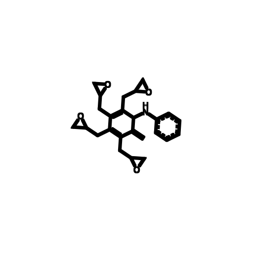 C=C1C(CC2CO2)=C(CC2CO2)C(CC2CO2)=C(CC2CO2)C1Nc1ccccc1